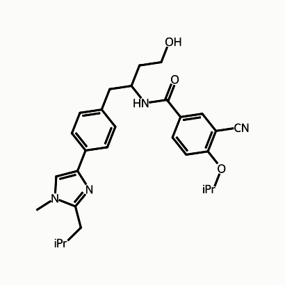 CC(C)Cc1nc(-c2ccc(CC(CCO)NC(=O)c3ccc(OC(C)C)c(C#N)c3)cc2)cn1C